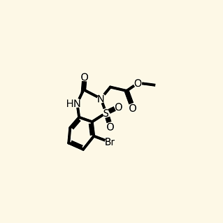 COC(=O)CN1C(=O)Nc2cccc(Br)c2S1(=O)=O